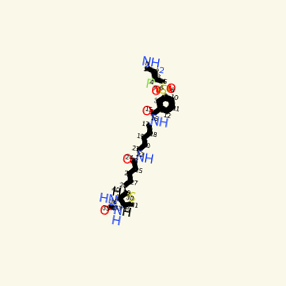 NC/C=C(\F)CS(=O)(=O)c1cccc(C(=O)NCCCCCNC(=O)CCCC[C@@H]2SC[C@@H]3NC(=O)N[C@@H]32)c1